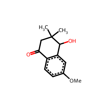 COc1ccc2c(c1)C(O)C(C)(C)CC2=O